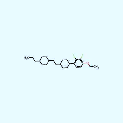 CCCC1CCC(CCC2CCC(c3ccc(OCC)c(F)c3F)CC2)CC1